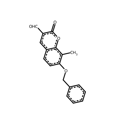 Cc1c(OCc2ccccc2)ccc2cc(C=O)c(=O)oc12